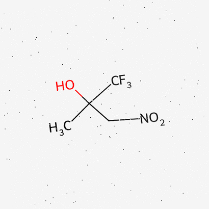 CC(O)(C[N+](=O)[O-])C(F)(F)F